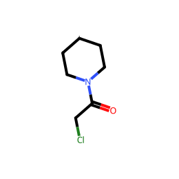 O=C(CCl)N1CC[CH]CC1